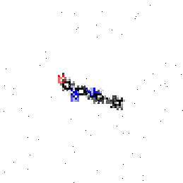 COc1ccc(-n2cnc3cc(NCc4ccc(CCc5ccccc5)cc4)ccc32)cc1